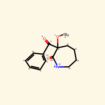 CC(C)(C)OC1(C(=O)c2ccccc2)CCCCNC1=O